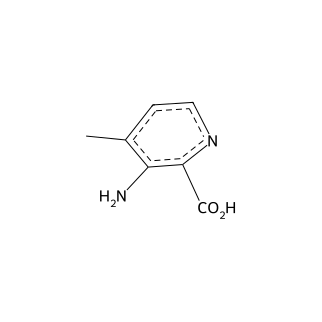 Cc1ccnc(C(=O)O)c1N